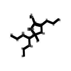 CCCC1=C(Br)NC(C)(C(OCC)OCC)S1